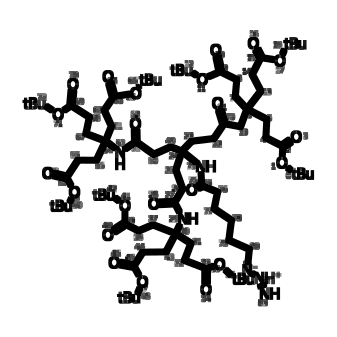 CC(C)(C)OC(=O)CCC(CCC(=O)OC(C)(C)C)(CCC(=O)OC(C)(C)C)CC(=O)CCC(CCC(=O)NC(CCC(=O)OC(C)(C)C)(CCC(=O)OC(C)(C)C)CCC(=O)OC(C)(C)C)(CCC(=O)NC(CCC(=O)OC(C)(C)C)(CCC(=O)OC(C)(C)C)CCC(=O)OC(C)(C)C)NC(=O)CCCCC[N-][NH+]=N